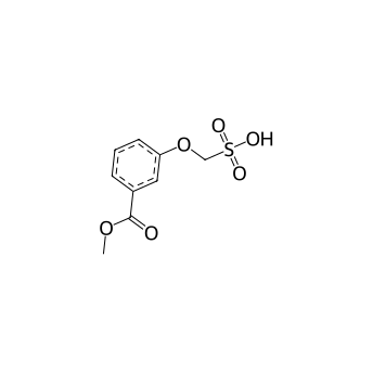 COC(=O)c1cccc(OCS(=O)(=O)O)c1